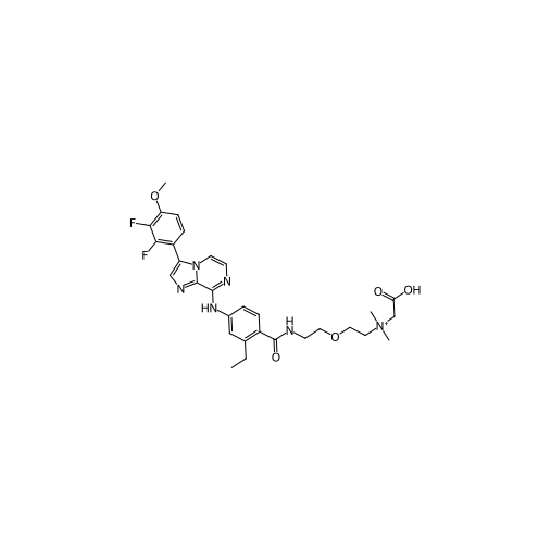 CCc1cc(Nc2nccn3c(-c4ccc(OC)c(F)c4F)cnc23)ccc1C(=O)NCCOCC[N+](C)(C)CC(=O)O